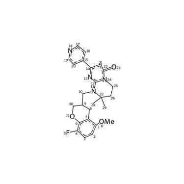 COc1ccc(F)c2c1CC(CN1c3nc(-c4ccncc4)cc(=O)n3CCC1(C)C)CO2